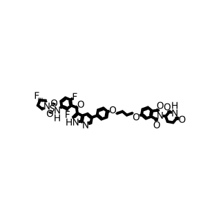 O=C1CCC(N2C(=O)c3ccc(OCCCCOc4ccc(-c5cnc6[nH]cc(C(=O)c7c(F)ccc(NS(=O)(=O)N8CC[C@@H](F)C8)c7F)c6c5)cc4)cc3C2=O)C(=O)N1